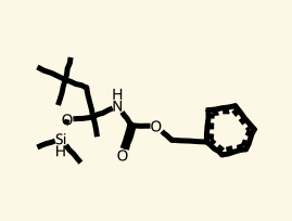 C[SiH](C)OC(C)(CC(C)(C)C)NC(=O)OCc1ccccc1